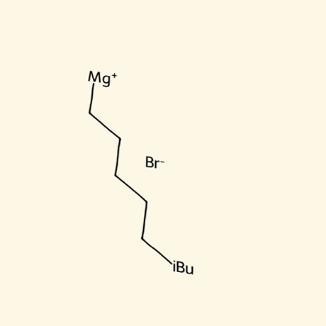 CCC(C)CCCC[CH2][Mg+].[Br-]